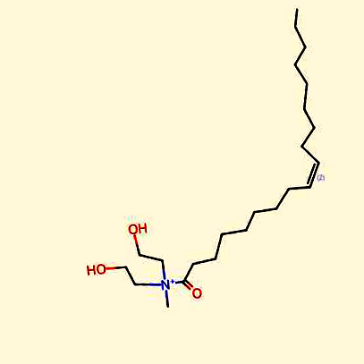 CCCCCCCC/C=C\CCCCCCCC(=O)[N+](C)(CCO)CCO